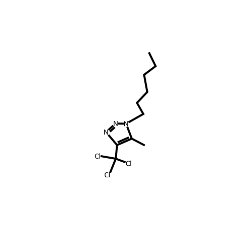 CCCCCCn1nnc(C(Cl)(Cl)Cl)c1C